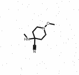 CNC1(C#N)CCN(OC)CC1